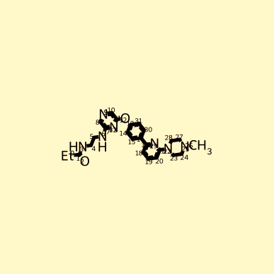 CCC(=O)NCCNc1cncc(Oc2ccc(-c3cccc(N4CCN(C)CC4)n3)cc2)n1